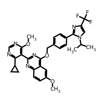 COc1ccc2nc(-c3c(OC)ncnc3C3CC3)nc(OCc3ccc(-c4nc(C(F)(F)F)cn4C(C)C)cc3)c2c1